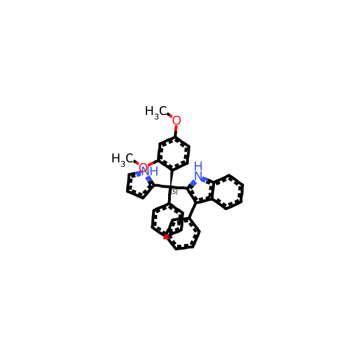 COc1ccc([C@@](c2ccccc2)(c2ccc[nH]2)c2[nH]c3ccccc3c2-c2ccccc2)c(OC)c1